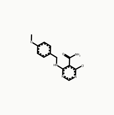 COc1ccc(CNc2ncnc(Cl)c2C(N)=O)cc1